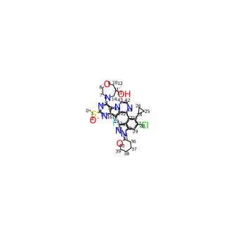 C[S+]([O-])c1nc(N2CCOC[C@@](C)(O)C2)c2c(n1)c(F)c1c(-c3c(C4CC4)c(Cl)cc4c3cnn4C3CCCCO3)nccn12